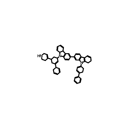 C1=CCC(C2=CC(N3c4ccc(-c5ccc6c7c(n(C8=CC=C(c9ccccc9)CC8)c6c5)CCC=C7)cc4C4C=CC=CC43)CC(C3=CCNCC3)C2)C=C1